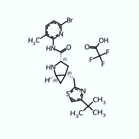 Cc1ccc(Br)nc1NC(=O)[C@@H]1C[C@@]2(Cc3nc(C(C)(C)C)cs3)C[C@H]2N1.O=C(O)C(F)(F)F